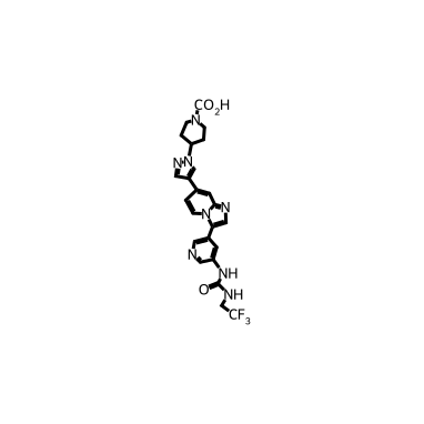 O=C(NCC(F)(F)F)Nc1cncc(-c2cnc3cc(-c4cnn(C5CCN(C(=O)O)CC5)c4)ccn23)c1